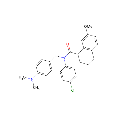 COc1ccc2c(c1)C(C(=O)N(Cc1ccc(N(C)C)cc1)c1ccc(Cl)cc1)CCC2